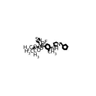 Cc1cc(S(=O)(=O)N(C(=O)OC(C)(C)C)c2cscn2)c(F)cc1N[C@@H]1CCN(Cc2ccccc2)C1